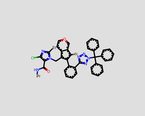 CCc1nc(Cl)c(C(=O)NC(C)C)n1Cc1c2ccocc-2c(Br)c1-c1ccccc1-c1nnn(C(c2ccccc2)(c2ccccc2)c2ccccc2)n1